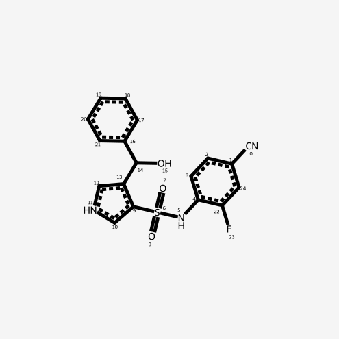 N#Cc1ccc(NS(=O)(=O)c2c[nH]cc2C(O)c2ccccc2)c(F)c1